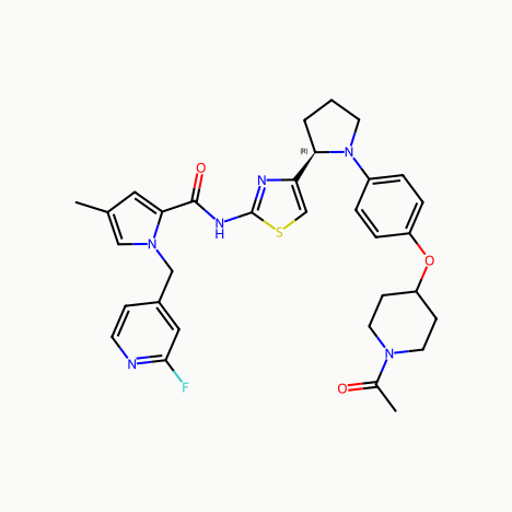 CC(=O)N1CCC(Oc2ccc(N3CCC[C@@H]3c3csc(NC(=O)c4cc(C)cn4Cc4ccnc(F)c4)n3)cc2)CC1